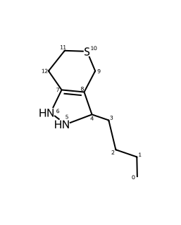 CCCCC1NNC2=C1CSCC2